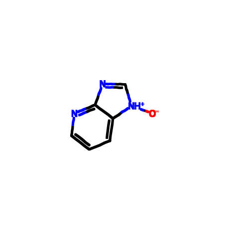 [O-][NH+]1C=Nc2ncccc21